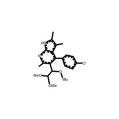 COC(OC)C(OC(C)(C)C)c1c(C)nc2[nH]c(C)c(C)c2c1-c1ccc(Cl)cc1